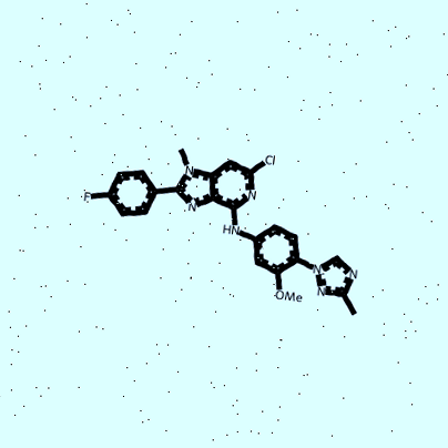 COc1cc(Nc2nc(Cl)cc3c2nc(-c2ccc(F)cc2)n3C)ccc1-n1cnc(C)n1